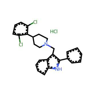 Cl.Clc1cccc(Cl)c1C1CCN(Cc2c(-c3ccccc3)[nH]c3ccccc23)CC1